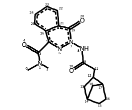 CN(C)C(=O)c1nn(NC(=O)CC2CC3CCC2C3)c(=O)c2ccccc12